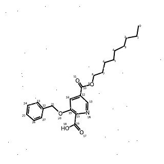 CCCCCCCCCOC(=O)c1cnc(C(=O)O)c(OCc2ccccc2)c1